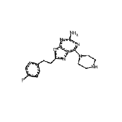 Nc1nc(N2CCNCC2)c2nc(CCc3ccc(F)cc3)oc2n1